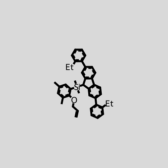 C=CCOc1c(C)cc(C)cc1[Si](C)(C)C1c2cc(-c3ccccc3CC)ccc2-c2ccc(-c3ccccc3CC)cc21